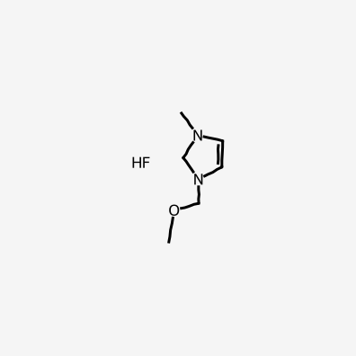 COCN1C=CN(C)C1.F